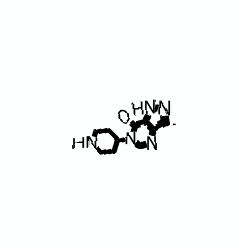 O=c1c2[nH]n[c]c2ncn1C1CCNCC1